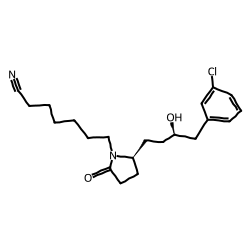 N#CCCCCCCN1C(=O)CC[C@@H]1CC[C@@H](O)Cc1cccc(Cl)c1